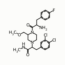 CNC(=O)C(Cc1ccc(Cl)c(Cl)c1)N1CCN(C(=O)C(N)Cc2ccc(F)cc2)C(COC)C1